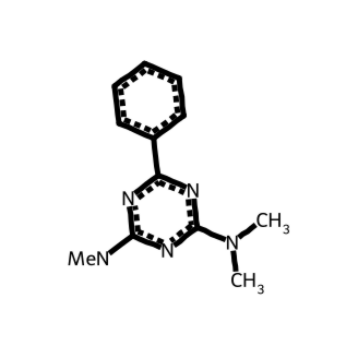 CNc1nc(-c2ccccc2)nc(N(C)C)n1